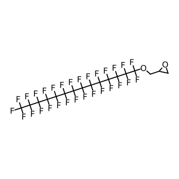 FC(F)(F)C(F)(F)C(F)(F)C(F)(F)C(F)(F)C(F)(F)C(F)(F)C(F)(F)C(F)(F)C(F)(F)C(F)(F)C(F)(F)C(F)(F)C(F)(F)OCC1CO1